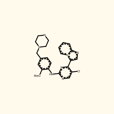 COc1cc(CN2CC[N]CC2)ccc1Nc1ncc(Cl)c(-c2cnc3ccccn23)n1